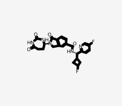 O=C1CC[C@H](N2Cc3cc(C(=O)N[C@H](c4ccc(F)cn4)C4CC(F)C4)ccc3C2=O)[SiH2]C(=O)N1